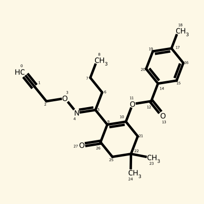 C#CCON=C(CCC)C1=C(OC(=O)c2ccc(C)cc2)CC(C)(C)CC1=O